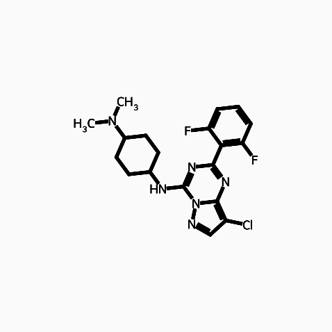 CN(C)C1CCC(Nc2nc(-c3c(F)cccc3F)nc3c(Cl)cnn23)CC1